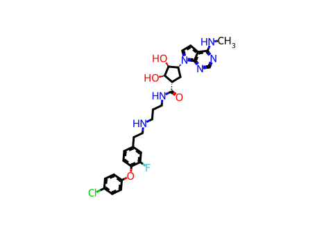 CNc1ncnc2c1ccn2[C@@H]1C[C@H](C(=O)NCCCNCCc2ccc(Oc3ccc(Cl)cc3)c(F)c2)[C@@H](O)[C@H]1O